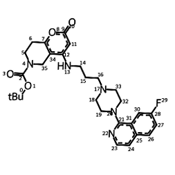 CC(C)(C)OC(=O)N1CCc2oc(=O)cc(NCCCN3CCN(c4nccc5ccc(F)cc45)CC3)c2C1